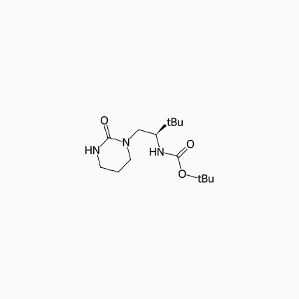 CC(C)(C)OC(=O)N[C@@H](CN1CCCNC1=O)C(C)(C)C